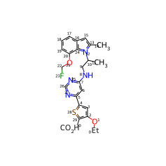 CCOc1cc(-c2cc(NCC(C)n3c(C)cc4cccc(OCF)c43)ncn2)sc1C(=O)O